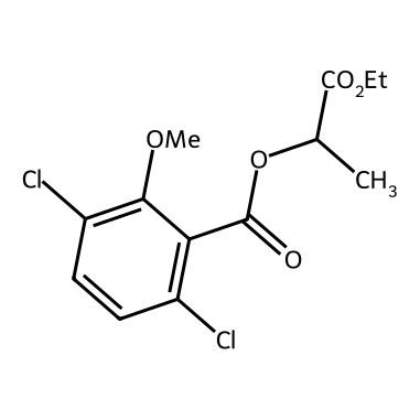 CCOC(=O)C(C)OC(=O)c1c(Cl)ccc(Cl)c1OC